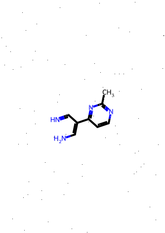 Cc1nccc(/C(C=N)=C/N)n1